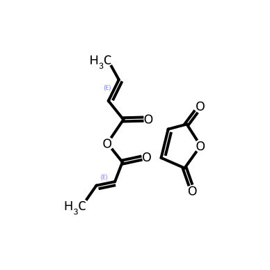 C/C=C/C(=O)OC(=O)/C=C/C.O=C1C=CC(=O)O1